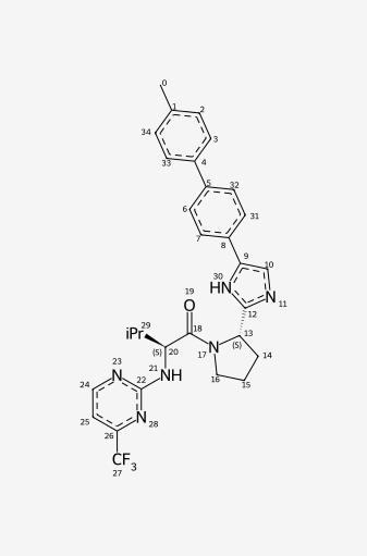 Cc1ccc(-c2ccc(-c3cnc([C@@H]4CCCN4C(=O)[C@@H](Nc4nccc(C(F)(F)F)n4)C(C)C)[nH]3)cc2)cc1